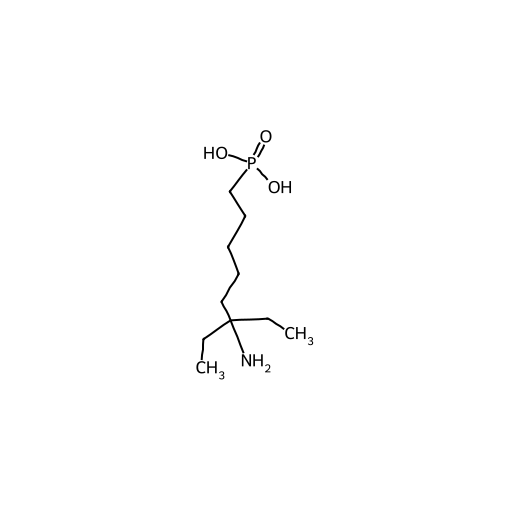 CCC(N)(CC)CCCCCP(=O)(O)O